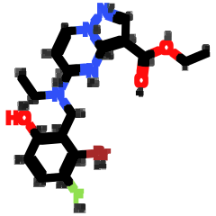 CCOC(=O)c1cnn2ccc(N(CC)Cc3c(O)ccc(F)c3Br)nc12